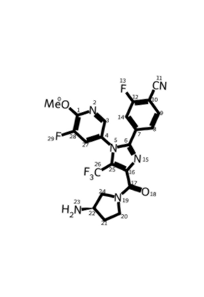 COc1ncc(-n2c(-c3ccc(C#N)c(F)c3)nc(C(=O)N3CC[C@@H](N)C3)c2C(F)(F)F)cc1F